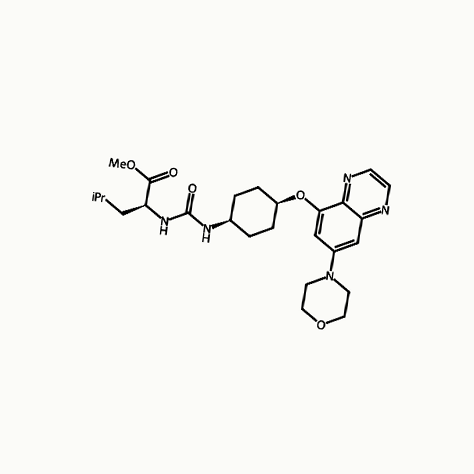 COC(=O)[C@H](CC(C)C)NC(=O)N[C@H]1CC[C@@H](Oc2cc(N3CCOCC3)cc3nccnc23)CC1